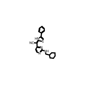 N#CC(=C1NC(c2ccccc2)=CS1)c1ccnc(NCC2CCCCC2)n1